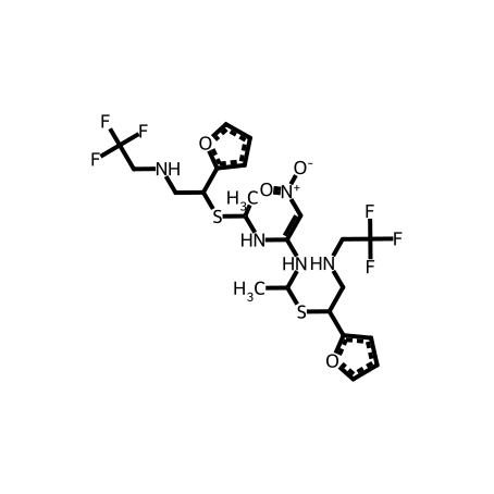 CC(NC(=C[N+](=O)[O-])NC(C)SC(CNCC(F)(F)F)c1ccco1)SC(CNCC(F)(F)F)c1ccco1